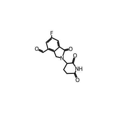 O=Cc1cc(F)cc2c1CN(C1CCC(=O)NC1=O)C2=O